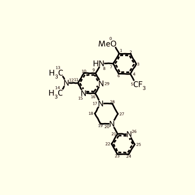 COc1ccc(C(F)(F)F)cc1Nc1cc(N(C)C)nc(N2CCN(c3ccccn3)CC2)n1